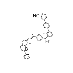 CCC(c1ccc(/C(C)=C/C=C2/C=Cc3ccc(-c4ccccc4)bc3C2C)cc1)c1cccc(-c2ccc(-c3cccc(C#N)c3)cc2)c1C